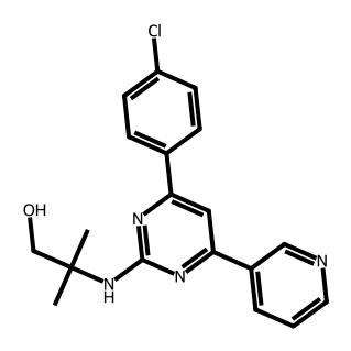 CC(C)(CO)Nc1nc(-c2ccc(Cl)cc2)cc(-c2cccnc2)n1